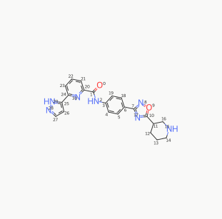 O=C(Nc1ccc(-c2noc(C3CCCNC3)n2)cc1)c1cccc(-c2ccn[nH]2)n1